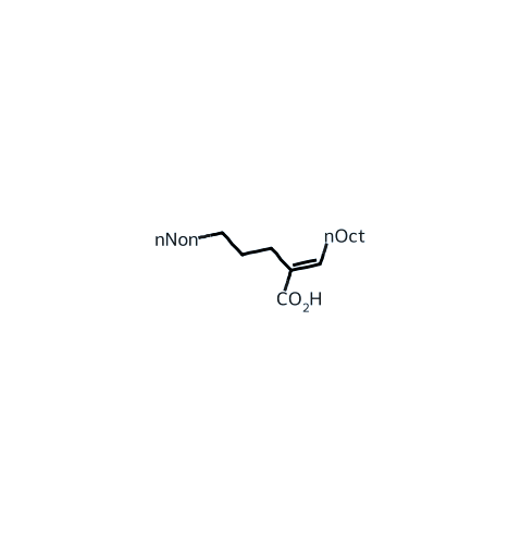 CCCCCCCCC=C(CCCCCCCCCCCC)C(=O)O